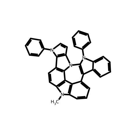 Cn1c2cccc3c2c2c1ccc1c4c(ccn4-c4ccccc4)n(c12)c1c3c2ccccc2n1-c1ccccc1